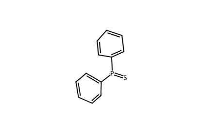 S=[P](c1ccccc1)c1ccccc1